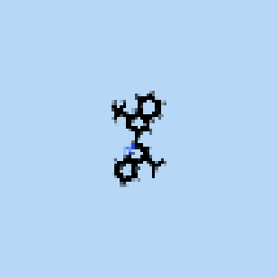 CC(C)c1cc(-c2cc(C(C)(C)C)c3ccccc3c2)nc2ccccc12